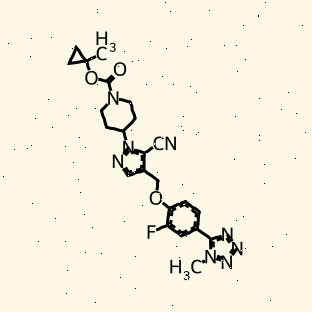 Cn1nnnc1-c1ccc(OCc2cnn(C3CCN(C(=O)OC4(C)CC4)CC3)c2C#N)c(F)c1